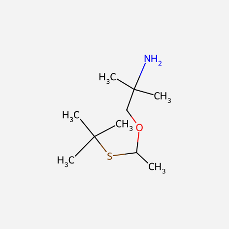 CC(OCC(C)(C)N)SC(C)(C)C